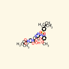 COc1ccccc1Oc1c(NS(=O)(=O)c2ccc(C(C)(C)C)cc2)ncnc1OC(C)(C(=O)O)N1CCN(C(=O)OC(C)(C)C)CC1